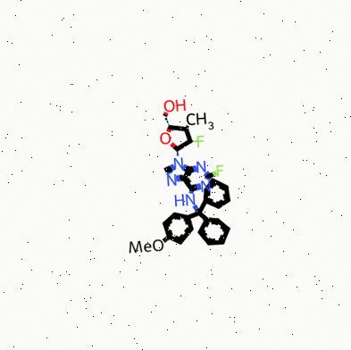 COc1ccc(C(Nc2nc(F)nc3c2ncn3[C@@H]2O[C@H](CO)[C@@H](C)[C@@H]2F)(c2ccccc2)c2ccccc2)cc1